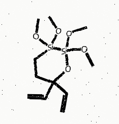 C=CC1(C=C)CC[Si](OC)(OC)[Si](OC)(OC)O1